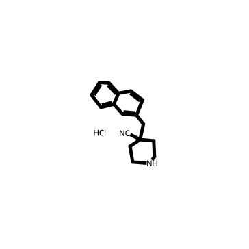 Cl.N#CC1(Cc2ccc3ccccc3c2)CCNCC1